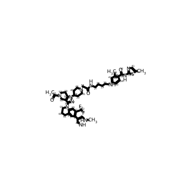 CN/C=C(\C=N)c1cc2c(cc1C(F)F)N(c1nn(C3CCN(CC(=O)NCCCCNc4ccc(C(=O)Nc5ncc(C)s5)c(C)c4)CC3)c3c1CN(C(C)=O)CC3)CCC2